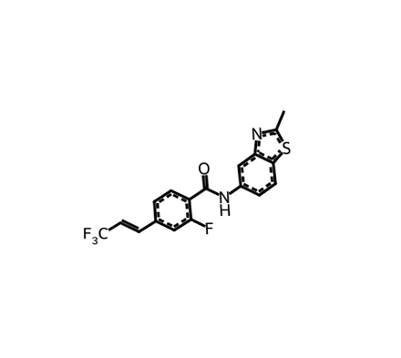 Cc1nc2cc(NC(=O)c3ccc(C=CC(F)(F)F)cc3F)ccc2s1